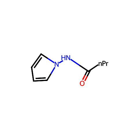 CCCC(=O)Nn1cccc1